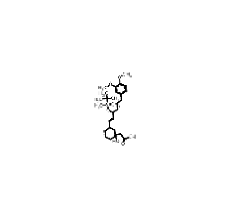 COc1ccc(CCCC(/C=C/C2CCCC(O)(CC(=O)O)C2)O[Si](C)(C)C(C)(C)C)cc1OC